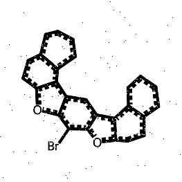 Brc1c2oc3ccc4ccccc4c3c2cc2c1oc1ccc3ccccc3c12